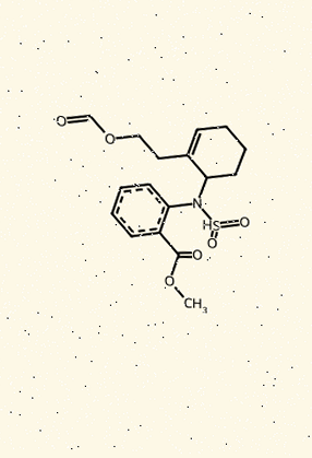 COC(=O)c1ccccc1N(C1CCCC=C1CCOC=O)[SH](=O)=O